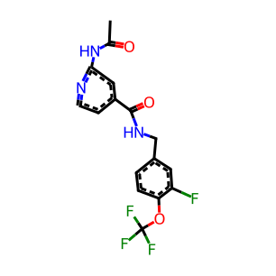 CC(=O)Nc1cc(C(=O)NCc2ccc(OC(F)(F)F)c(F)c2)ccn1